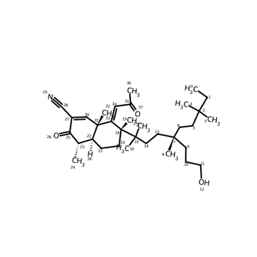 CCC(C)(C)CC[C@](C)(CCCO)CCC(C)(C)[C@]1(C)CC[C@H]2[C@H](C)C(=O)C(C#N)=C[C@]2(C)/C1=C/C(C)=O